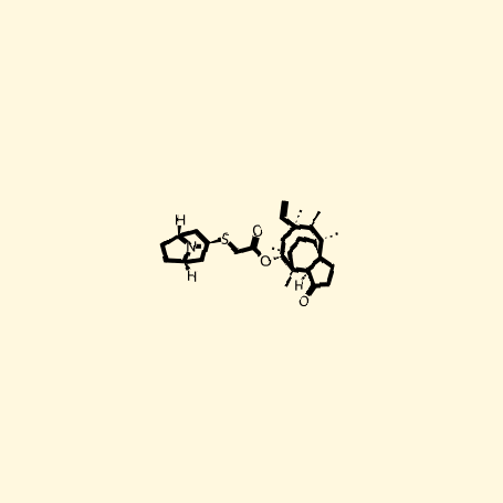 C=C[C@]1(C)C[C@@H](OC(=O)CS[C@@H]2C[C@H]3CC[C@@H](C2)N3C)[C@]2(C)[C@H](C)CC[C@]3(CCC(=O)[C@H]32)[C@@H](C)[C@@H]1C